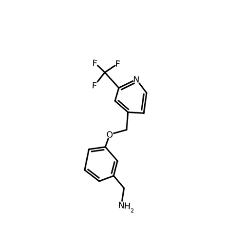 NCc1cccc(OCc2ccnc(C(F)(F)F)c2)c1